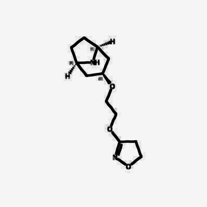 C1CC(OCCO[C@H]2C[C@H]3CC[C@@H](C2)N3)=NO1